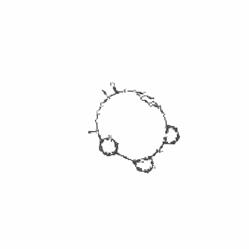 CN1CCCN(C)c2ccc(cn2)-c2ccnc(c2)Nc2cccc(c2)CN2CCN(CC2)CC1=O